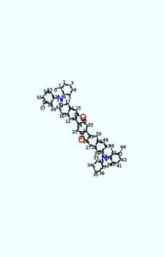 Cc1ccccc1N(c1ccc2cc3c(cc2c1)oc1cc2c(cc13)oc1cc3cc(N(c4ccccc4C)c4cccc(C)c4C)ccc3cc12)c1cccc(C)c1C